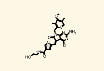 COc1c(C)cnc(CN2C(=O)/C(=C\c3cc(C(=O)NCCO)c[nH]3)c3c(Cl)nc(N)nc32)c1C